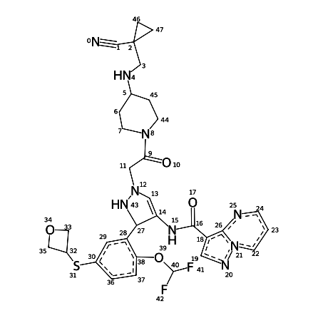 N#CC1(CNC2CCN(C(=O)CN3C=C(NC(=O)c4cnn5cccnc45)C(c4cc(SC5COC5)ccc4OC(F)F)N3)CC2)CC1